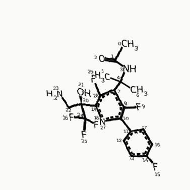 CC(=O)NC(C)(C)c1c(F)c(-c2ccc(F)cc2)nc([C@@](O)(CN)C(F)(F)F)c1F